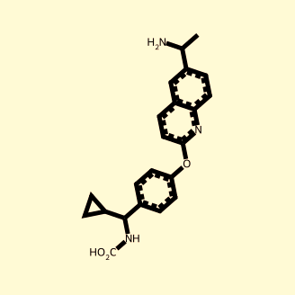 CC(N)c1ccc2nc(Oc3ccc(C(NC(=O)O)C4CC4)cc3)ccc2c1